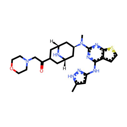 Cc1cc(Nc2nc(N(C)[C@@H]3C[C@H]4CC(C(=O)CN5CCOCC5)C[C@@H](C3)N4)nc3sccc23)n[nH]1